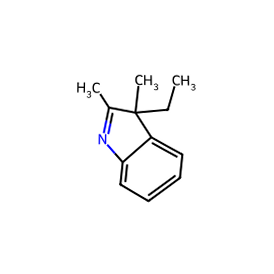 CCC1(C)C(C)=Nc2ccccc21